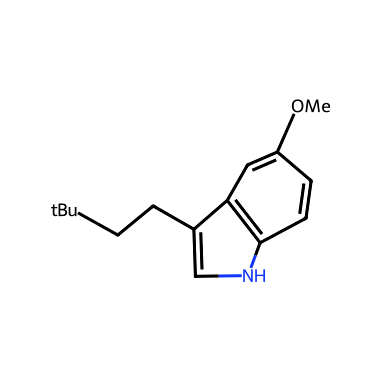 COc1ccc2[nH]cc(CCC(C)(C)C)c2c1